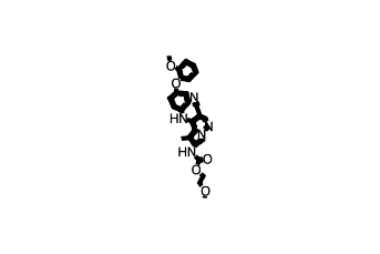 COCCOC(=O)Nc1cn2ncc(C#N)c(Nc3ccc(Oc4ccccc4OC)cc3)c2c1C